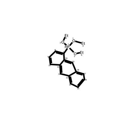 CCO[PH](OCC)(OCC)c1cccc2cc3ccccc3cc12